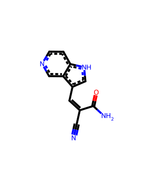 N#CC(=Cc1c[nH]c2ccncc12)C(N)=O